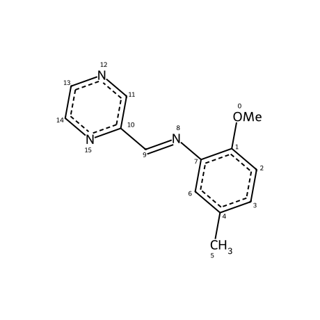 COc1ccc(C)cc1/N=C/c1cnccn1